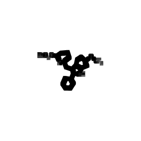 CCOC(=O)c1cccc(Cc2c(-c3ccccc3)[nH]c3cc(OC(F)(F)F)ccc23)n1